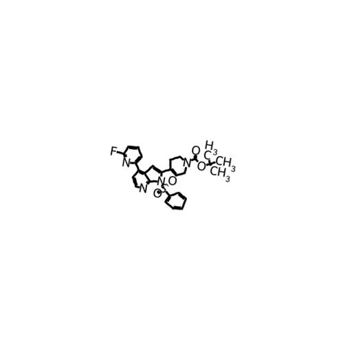 CC(C)(C)OC(=O)N1CC=C(c2cc3c(-c4cccc(F)n4)ccnc3n2S(=O)(=O)c2ccccc2)CC1